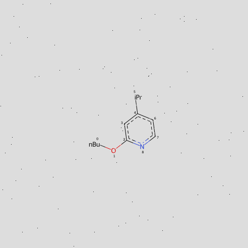 CCCCOc1cc(C(C)C)ccn1